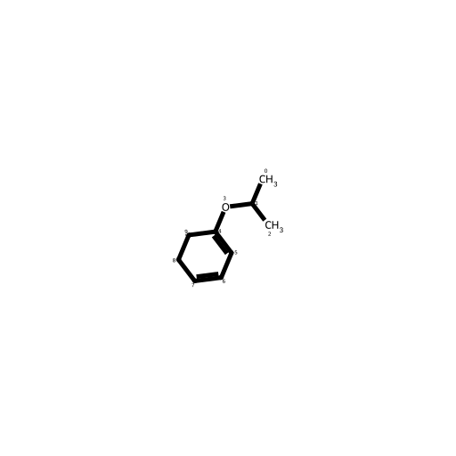 CC(C)OC1=CC=CC[CH]1